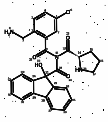 NCc1ccc(Cl)cc1C(=O)N(C(=O)[C@@H]1CCCN1)C(=O)C1(O)c2ccccc2-c2ccccc21